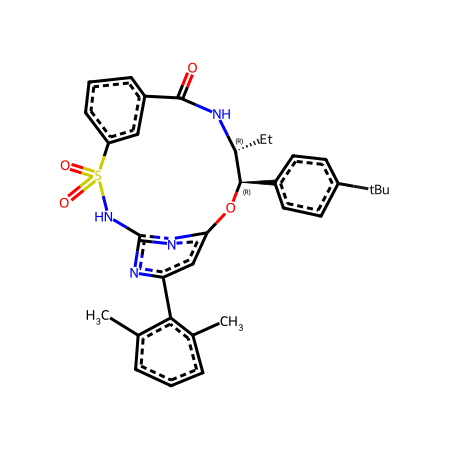 CC[C@H]1NC(=O)c2cccc(c2)S(=O)(=O)Nc2nc(cc(-c3c(C)cccc3C)n2)O[C@@H]1c1ccc(C(C)(C)C)cc1